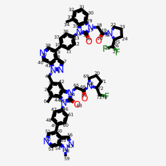 Cc1cc(Cn2ncc3c(-c4ccc(-n5c(=O)n(CC(=O)N6CCCC6C(F)F)c6cccc(C)c65)cc4)cncc32)cc2c1n(-c1ccc(-c3cncc4c3cnn4C)cc1)c(=O)n2CC(=O)N1CCCC1CF